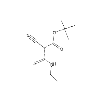 CCNC(=S)C(C#N)C(=O)OC(C)(C)C